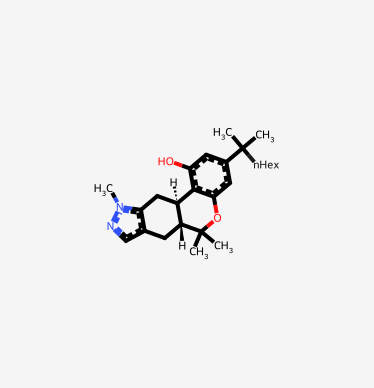 CCCCCCC(C)(C)c1cc(O)c2c(c1)OC(C)(C)[C@@H]1Cc3cnn(C)c3C[C@@H]21